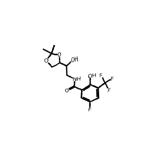 CC1(C)OCC(C(O)CNC(=O)c2cc(F)cc(C(F)(F)F)c2O)O1